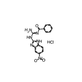 Cl.NC(=NC(=O)c1ccccc1)Nc1nc2cc([N+](=O)[O-])ccc2[nH]1